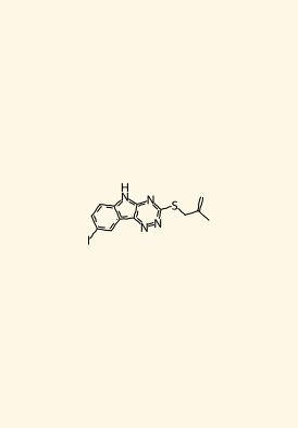 C=C(C)CSc1nnc2c(n1)[nH]c1ccc(I)cc12